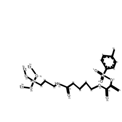 C=C(OS(=O)(=O)c1ccc(C)cc1)C(=O)OCCCCC(=O)NCCC[Si](OCC)(OCC)OCC